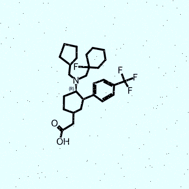 O=C(O)CC1CC[C@@H](N(CC2CCCC2)CC2(F)CCCCC2)C(c2ccc(C(F)(F)F)cc2)C1